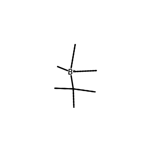 C[B-](C)(C)C(C)(C)C